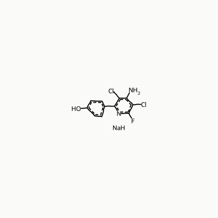 Nc1c(Cl)c(F)nc(-c2ccc(O)cc2)c1Cl.[NaH]